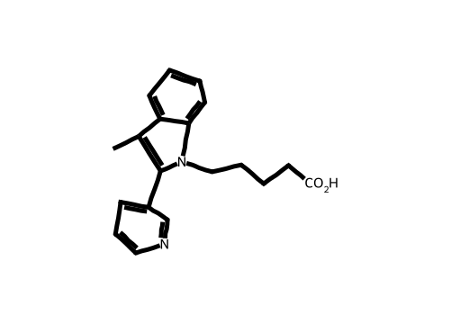 Cc1c(-c2cccnc2)n(CCCCC(=O)O)c2ccccc12